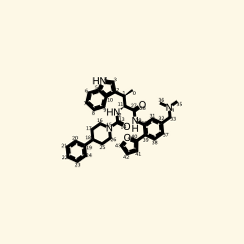 C[C@H](c1c[nH]c2ccccc12)[C@@H](NC(=O)N1CCC(c2ccccc2)CC1)C(=O)Nc1cc(CN(C)C)ccc1-c1ccco1